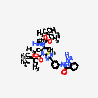 C/C=C(\C(C)N(C(=O)OC(C)(C)C)c1nc(-c2cccc(NC(=O)c3ccccc3N)c2)ns1)N(NC)C(=O)OC(C)(C)C